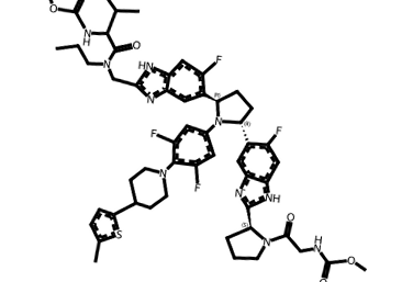 CCCN(Cc1nc2cc([C@H]3CC[C@H](c4cc5nc([C@@H]6CCCN6C(=O)CNC(=O)OC)[nH]c5cc4F)N3c3cc(F)c(N4CCC(c5ccc(C)s5)CC4)c(F)c3)c(F)cc2[nH]1)C(=O)C(NC(=O)OC)C(C)C